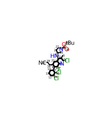 Cc1c(Cl)nc2c(F)c(-c3cccc(Cl)c3Cl)c(CCC#N)cc2c1NC1CCN(C(=O)OC(C)(C)C)C1